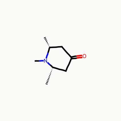 C[C@@H]1CC(=O)C[C@H](C)N1C